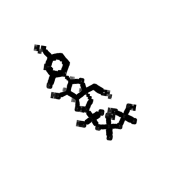 C=C[C@]1(COP(=O)(O)OP(=O)(O)OP(=O)(O)O)O[C@@H](n2ccc(N)nc2=O)[C@H](O)[C@@H]1O